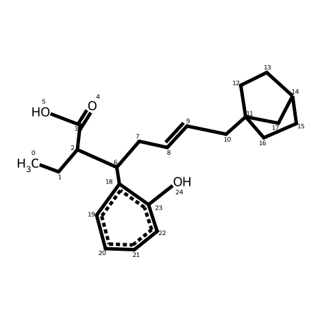 CCC(C(=O)O)C(CC=CCC12CCC(CC1)C2)c1ccccc1O